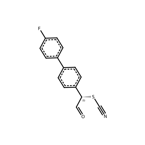 N#CS[C@H](C=O)c1ccc(-c2ccc(F)cc2)cc1